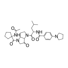 CC(=O)NC1(C(=O)N2CC(=O)C3C2CCN3C(=O)C(CC(C)C)NC(=O)c2ccc(N3CCCC3)cc2)CCCC1